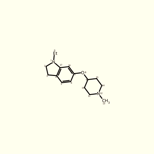 CCN1CCc2ccc(OC3CCN(C)CC3)cc21